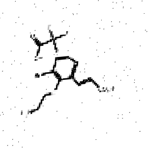 NCCOc1c(Br)cccc1C=CC(=O)O.O=C(O)C(F)(F)F